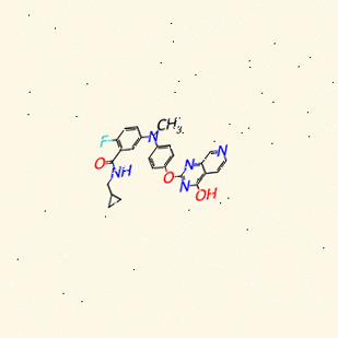 CN(c1ccc(Oc2nc(O)c3ccncc3n2)cc1)c1ccc(F)c(C(=O)NCC2CC2)c1